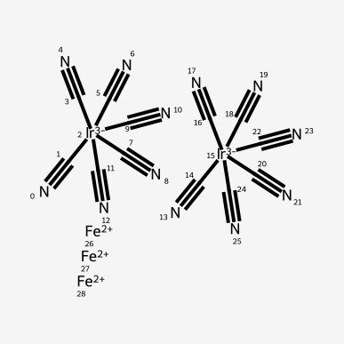 N#[C][Ir-3]([C]#N)([C]#N)([C]#N)([C]#N)[C]#N.N#[C][Ir-3]([C]#N)([C]#N)([C]#N)([C]#N)[C]#N.[Fe+2].[Fe+2].[Fe+2]